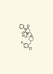 CN1C(=O)N(c2ccccc2)C(=O)CC1CN1CCC(Cc2cc(F)ccc2Cl)CC1